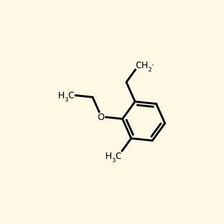 [CH2]Cc1cccc(C)c1OCC